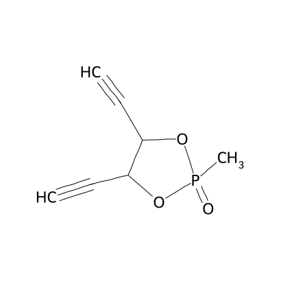 C#CC1OP(C)(=O)OC1C#C